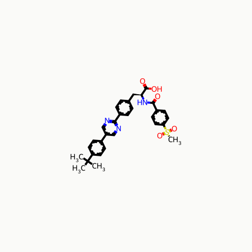 CC(C)(C)c1ccc(-c2cnc(-c3ccc(C[C@H](NC(=O)c4ccc(S(C)(=O)=O)cc4)C(=O)O)cc3)nc2)cc1